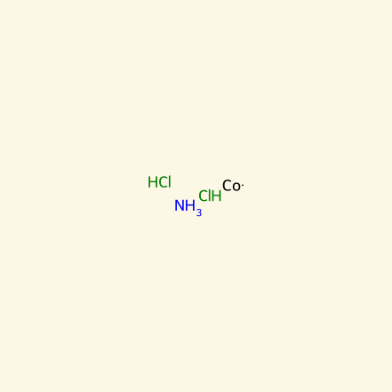 Cl.Cl.N.[Co]